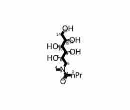 CCCC(=O)N(C)C[C@H](O)[C@@H](O)[C@H](O)[C@H](O)CO